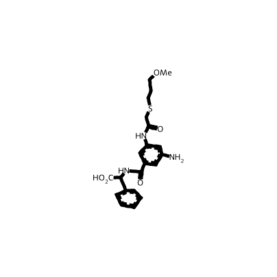 COCCCSCC(=O)Nc1cc(N)cc(C(=O)NC(C(=O)O)c2ccccc2)c1